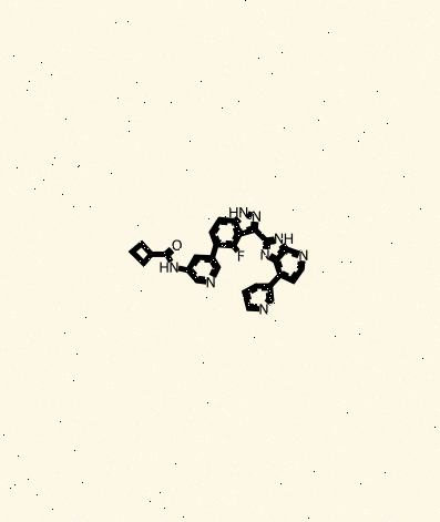 O=C(Nc1cncc(-c2ccc3[nH]nc(-c4nc5c(-c6cccnc6)ccnc5[nH]4)c3c2F)c1)C1CCC1